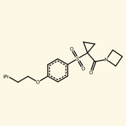 CC(C)CCOc1ccc(S(=O)(=O)C2(C(=O)N3CCC3)CC2)cc1